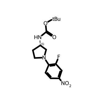 CC(C)(C)OC(=O)N[C@H]1CCN(c2ccc([N+](=O)[O-])cc2F)C1